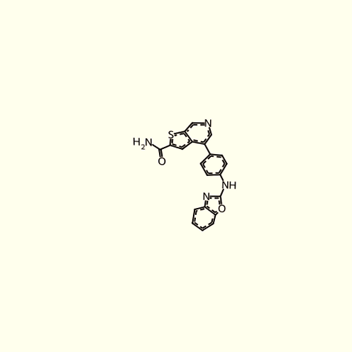 NC(=O)c1cc2c(-c3ccc(Nc4nc5ccccc5o4)cc3)cncc2s1